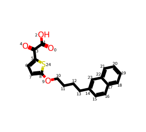 O=C(O)C(=O)c1ccc(OCCCCc2ccc3ccccc3c2)s1